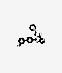 O=c1c2sccc2nc(C2=CC=C(C3=CC=CC(Cl)C3)CC2)n1CCN1CCCCC1